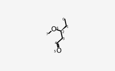 CC[C@@H](CC=O)OC